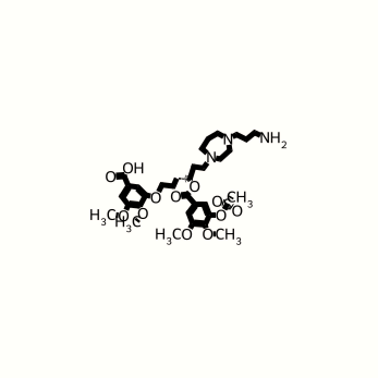 COc1cc(C(=O)O)cc(OCCC[C@H](CCN2CCCN(CCCN)CC2)OC(=O)c2cc(OC)c(OC)c(OS(C)(=O)=O)c2)c1OC